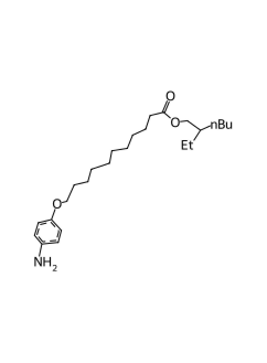 CCCCC(CC)COC(=O)CCCCCCCCCCOc1ccc(N)cc1